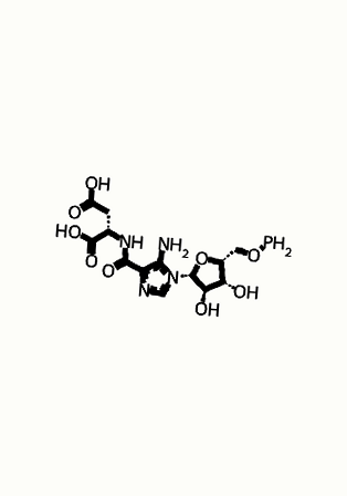 Nc1c(C(=O)N[C@@H](CC(=O)O)C(=O)O)ncn1[C@@H]1O[C@H](COP)[C@H](O)[C@H]1O